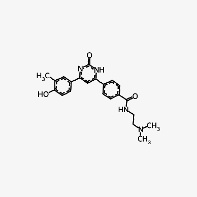 Cc1cc(-c2cc(-c3ccc(C(=O)NCCN(C)C)cc3)[nH]c(=O)n2)ccc1O